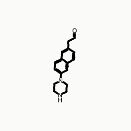 O=CCc1ccc2cc(N3CCNCC3)ccc2c1